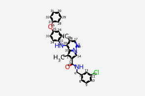 Cc1c(C(=O)NCc2cccc(Cl)c2)cn2ncc(C#N)c(Nc3ccc(Oc4ccccc4)cc3)c12